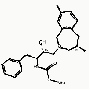 Cc1ccc2c(c1)CN(C[C@@H](O)[C@H](Cc1ccccc1)NC(=O)OC(C)(C)C)C[C@H](C)C2